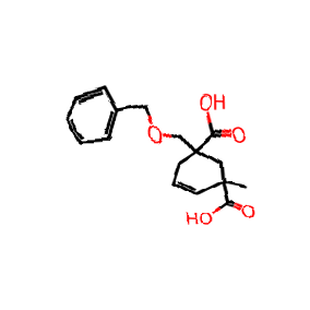 CC1(C(=O)O)C=CCC(COCc2ccccc2)(C(=O)O)C1